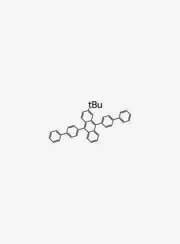 CC(C)(C)c1ccc2c(-c3ccc(-c4ccccc4)cc3)c3ccccc3c(-c3ccc(-c4ccccc4)cc3)c2c1